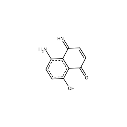 N=C1C=CC(=O)c2c(O)ccc(N)c21